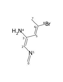 C=N/C=C(N)\C=C(/C)Br